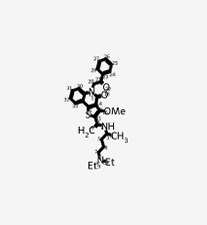 C=C(NC(C)CCCN(CC)CC)c1sc2c(c1OC)c(=O)n(CC(=O)c1ccccc1)c1ccccc21